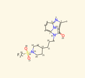 Cc1nc2cccc3n(CCCC4CCN(S(=O)(=O)C(F)(F)F)CC4)c(=O)c1n23